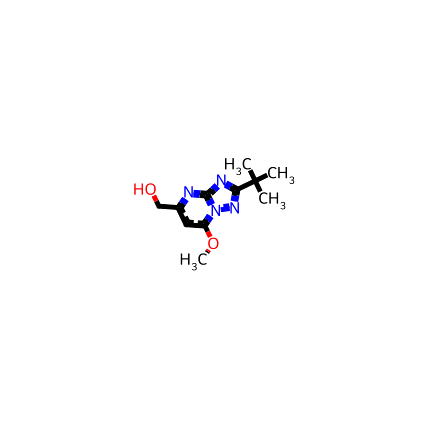 COc1cc(CO)nc2nc(C(C)(C)C)nn12